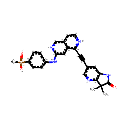 CC1(C)C(=O)Nc2cc(C#Cc3nccc4cnc(Nc5ccc(S(C)(=O)=O)cc5)cc34)cnc21